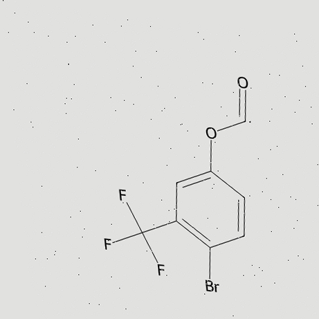 O=[C]Oc1ccc(Br)c(C(F)(F)F)c1